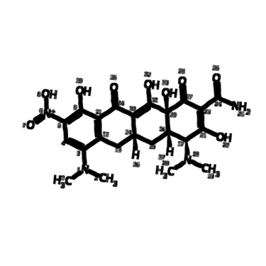 CN(C)c1cc([N+](=O)O)c(O)c2c1C[C@H]1C[C@H]3[C@H](N(C)C)C(O)=C(C(N)=O)C(=O)[C@@]3(O)C(O)=C1C2=O